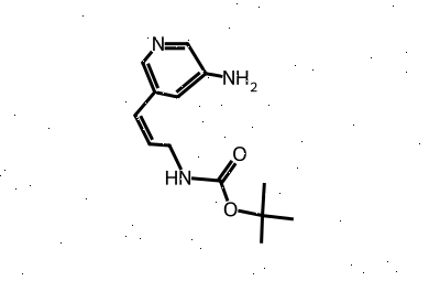 CC(C)(C)OC(=O)NC/C=C\c1cncc(N)c1